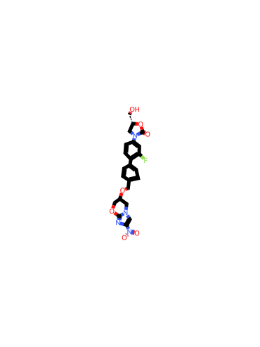 O=C1O[C@@H](CO)CN1c1ccc(-c2ccc(COC3COc4nc([N+](=O)[O-])cn4C3)cc2)c(F)c1